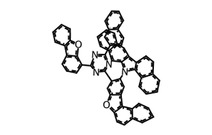 c1ccc2cc(-c3nc(-c4cc5oc6ccc7ccccc7c6c5cc4-n4c5cc6ccccc6cc5c5ccc6ccccc6c54)nc(-c4cccc5c4oc4ccccc45)n3)ccc2c1